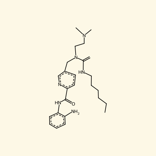 C=C(NCCCCCC)N(CCN(C)C)Cc1ccc(C(=O)Nc2ccccc2N)nc1